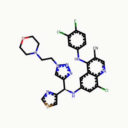 N#Cc1cnc2c(Cl)cc(N[C@@H](c3cscn3)c3cn(CCN4CCOCC4)nn3)cc2c1Nc1ccc(F)c(Cl)c1